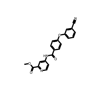 COC(=O)c1cc(NC(=O)c2ccc(Oc3cccc(C#N)c3)cc2)ccn1